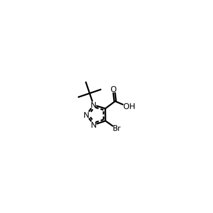 CC(C)(C)n1nnc(Br)c1C(=O)O